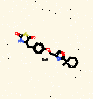 CC1(c2nc(COc3ccc(CC4NC(=O)SC4=O)cc3)co2)CCCCC1.[NaH]